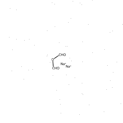 O=[C-]O[C-]=O.[Na+].[Na+]